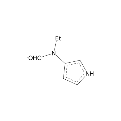 CCN([C]=O)c1cc[nH]c1